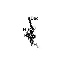 CCCCCCCCCCCCCCCCOC(=O)OC(C)OC(=O)N1c2ccc(I)cc2N=C(N2CCN(C)CC2)c2ccccc21